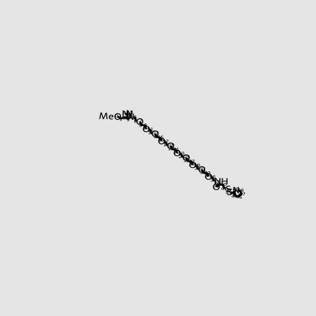 COCc1cn(CCOCCOCCOCCOCCOCCOCCOCCOCCOCCOCCNC(=O)CCSSc2ccccn2)nn1